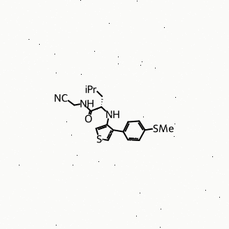 CSc1ccc(-c2cscc2N[C@@H](CC(C)C)C(=O)NCC#N)cc1